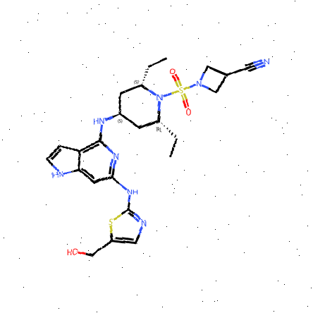 CC[C@@H]1C[C@@H](Nc2nc(Nc3ncc(CO)s3)cc3[nH]ccc23)C[C@H](CC)N1S(=O)(=O)N1CC(C#N)C1